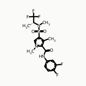 Cc1c(S(=O)(=O)N(C)[C@H](C)C(F)(F)F)cn(C)c1C(=O)Nc1ccc(F)c(F)c1